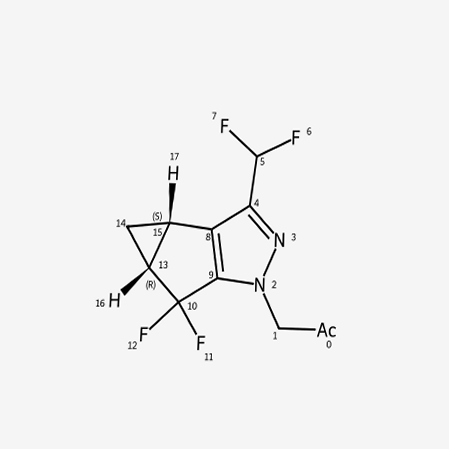 CC(=O)Cn1nc(C(F)F)c2c1C(F)(F)[C@@H]1C[C@H]21